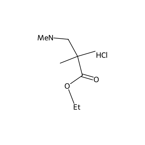 CCOC(=O)C(C)(C)CNC.Cl